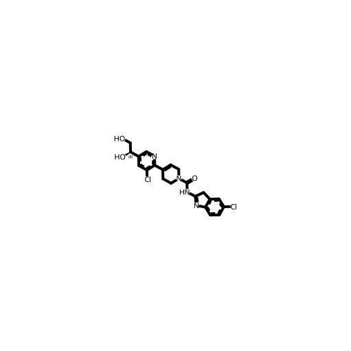 O=C(NC1=Nc2ccc(Cl)cc2C1)N1CC=C(c2ncc([C@@H](O)CO)cc2Cl)CC1